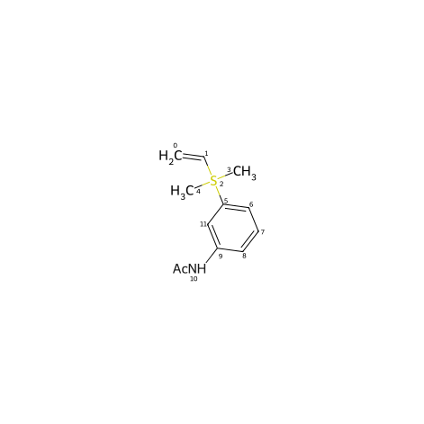 C=CS(C)(C)c1cccc(NC(C)=O)c1